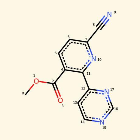 COC(=O)c1ccc(C#N)nc1-c1ccncn1